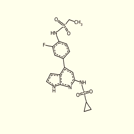 CCS(=O)(=O)Nc1ccc(-c2cc(NS(=O)(=O)C3CC3)nc3[nH]ccc23)cc1F